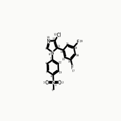 CS(=O)(=O)c1ccc(-n2cnc(Cl)c2-c2cc(F)cc(F)c2)cc1